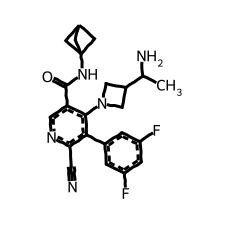 CC(N)C1CN(c2c(C(=O)NC34CC(C3)C4)cnc(C#N)c2-c2cc(F)cc(F)c2)C1